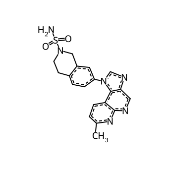 Cc1ccc2c(ncc3ncn(-c4ccc5c(c4)CN(S(N)(=O)=O)CC5)c32)n1